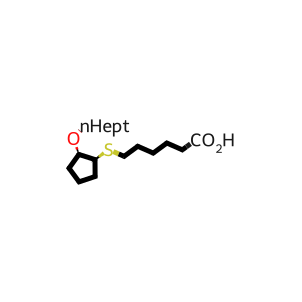 CCCCCCCO[C@H]1CCC[C@@H]1SCCCCCC(=O)O